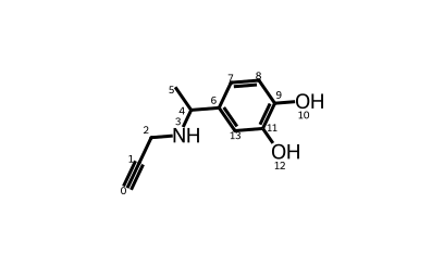 C#CCNC(C)c1ccc(O)c(O)c1